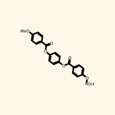 CCCCCCCCOc1ccc(C(=O)Oc2ccc(OC(=O)c3ccc(OC)cc3)cc2)cc1